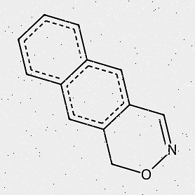 C1=NOCc2cc3ccccc3cc21